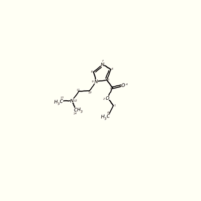 CCOC(=O)c1cncn1CCN(C)C